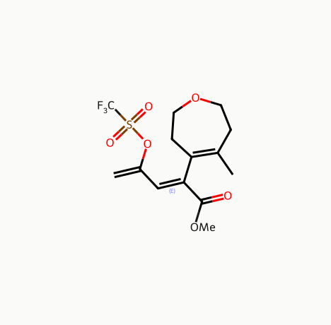 C=C(/C=C(/C(=O)OC)C1=C(C)CCOCC1)OS(=O)(=O)C(F)(F)F